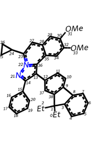 CCC1(CC)c2ccccc2-c2ccc(-c3c(-c4ccccc4)nn4c(C5CC5)cc5cc(OC)c(OC)cc5c34)cc21